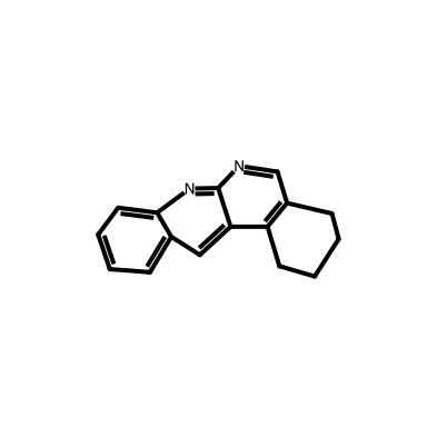 c1ccc2nc3ncc4c(c3cc2c1)CCCC4